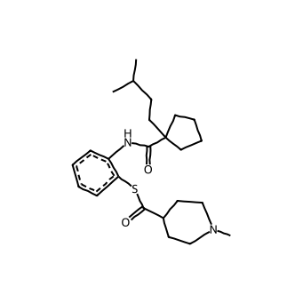 CC(C)CCC1(C(=O)Nc2ccccc2SC(=O)C2CCN(C)CC2)CCCC1